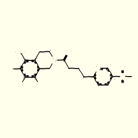 CS(=O)(=O)c1ccc(CCCC(=O)N2CCc3c(Cl)c(O)c(O)c(Cl)c3C2)nc1